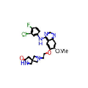 COc1cc2ncnc(Nc3ccc(F)c(Cl)c3)c2cc1OCCN1CC2(CNC(=O)C2)C1